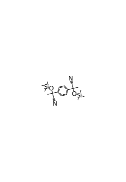 CC(C#N)(O[Si](C)(C)C)c1ccc(C(C)(C#N)O[Si](C)(C)C)cc1